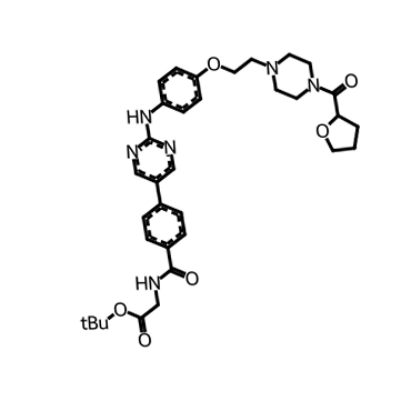 CC(C)(C)OC(=O)CNC(=O)c1ccc(-c2cnc(Nc3ccc(OCCN4CCN(C(=O)C5CCCO5)CC4)cc3)nc2)cc1